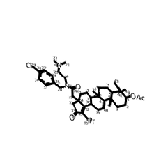 CC(=O)OC1CCC2(C)C(CCC3(C)C4CCC5(CC(=O)N(CCN(C)C)Cc6ccc(Cl)cc6)CC(=O)C(C(C)C)=C5C4CCC32)C1(C)C